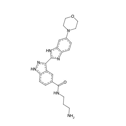 NCCCNC(=O)c1ccc2[nH]nc(-c3nc4ccc(N5CCOCC5)cc4[nH]3)c2c1